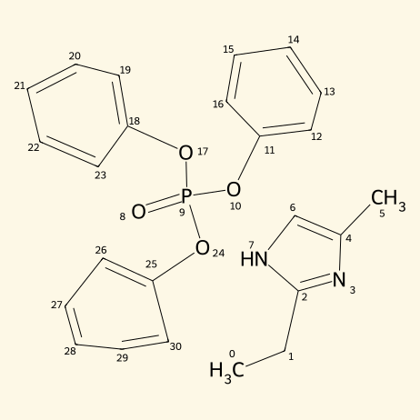 CCc1nc(C)c[nH]1.O=P(Oc1ccccc1)(Oc1ccccc1)Oc1ccccc1